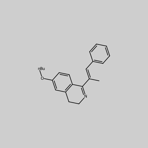 CCCCOc1ccc2c(c1)CCN=C2C(C)=Cc1ccccc1